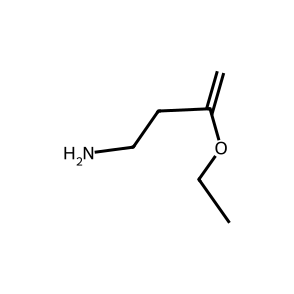 C=C(CCN)OCC